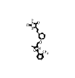 Cc1oc(-c2ccccc2C(F)(F)F)nc1CO[C@@H]1CCC[C@H](CCC2SC(=O)NC2=O)C1